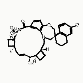 O=C1NS(=O)(=O)[C@H]2CC[C@@H]2C/C=C/[C@H](O)[C@@H]2CC[C@H]2CN2C[C@@]3(CCCc4cc(Cl)ccc43)COc3ccc1cc32